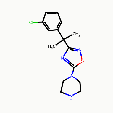 CC(C)(c1cccc(Cl)c1)c1noc(N2CCNCC2)n1